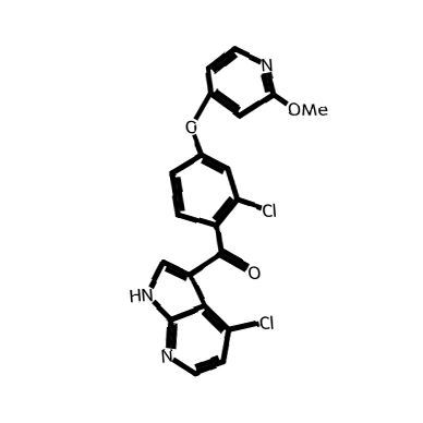 COc1cc(Oc2ccc(C(=O)c3c[nH]c4nccc(Cl)c34)c(Cl)c2)ccn1